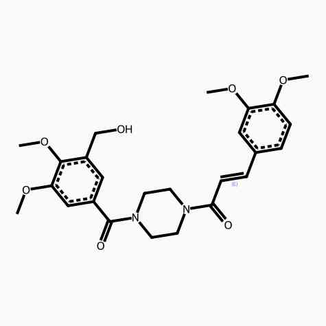 COc1ccc(/C=C/C(=O)N2CCN(C(=O)c3cc(CO)c(OC)c(OC)c3)CC2)cc1OC